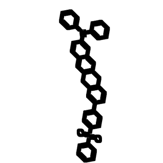 O=S(=O)(c1ccccc1)c1ccc(-c2ccc3c(c2)Cc2cc4ccc(N(c5ccccc5)c5ccccc5)cc4cc2C3)cc1